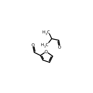 CC(C)C=O.O=Cc1ccco1